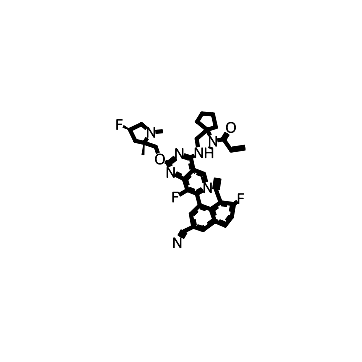 C#Cc1c(F)ccc2cc(C#N)cc(-c3ncc4c(NCC5(N(C)C(=O)C=C)CCCC5)nc(OC[C@]5(C)C[C@@H](F)CN5C)nc4c3F)c12